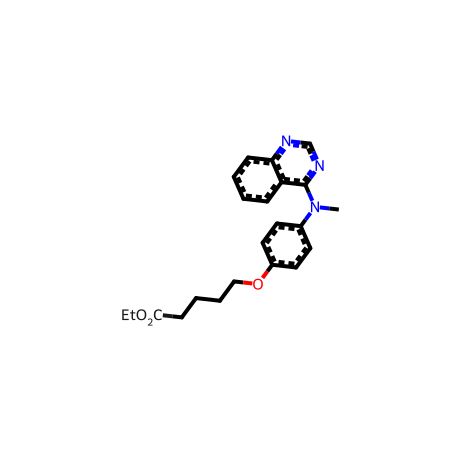 CCOC(=O)CCCCOc1ccc(N(C)c2ncnc3ccccc23)cc1